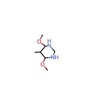 COC1NCNC(OC)C1C